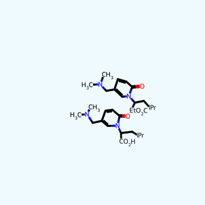 CC(C)CC(C(=O)O)n1cc(CN(C)C)ccc1=O.CCOC(=O)C(CC(C)C)n1cc(CN(C)C)ccc1=O